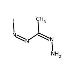 CC(/N=N\I)=N/N